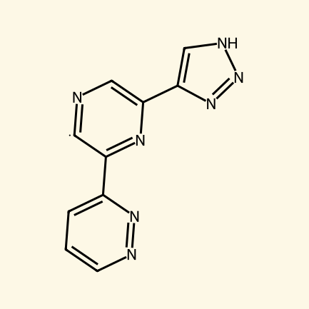 [c]1ncc(-c2c[nH]nn2)nc1-c1cccnn1